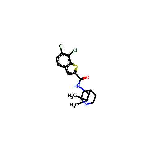 CC1(C)C(NC(=O)c2cc3ccc(Cl)c(Cl)c3s2)C2CCN1CC2